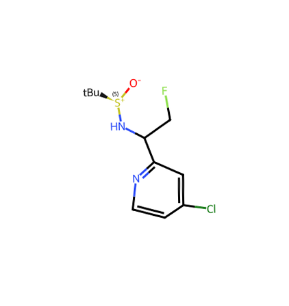 CC(C)(C)[S@@+]([O-])NC(CF)c1cc(Cl)ccn1